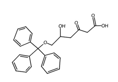 O=C(O)CC(=O)CC(O)COC(c1ccccc1)(c1ccccc1)c1ccccc1